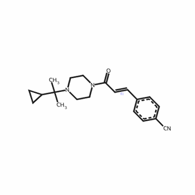 CC(C)(C1CC1)N1CCN(C(=O)/C=C/c2ccc(C#N)cc2)CC1